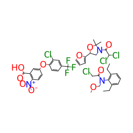 CC1(C)OC(c2ccco2)CN1C(=O)C(Cl)Cl.CCc1cccc(CC)c1N(COC)C(=O)CCl.O=C(O)c1cc(Oc2ccc(C(F)(F)F)cc2Cl)ccc1[N+](=O)[O-]